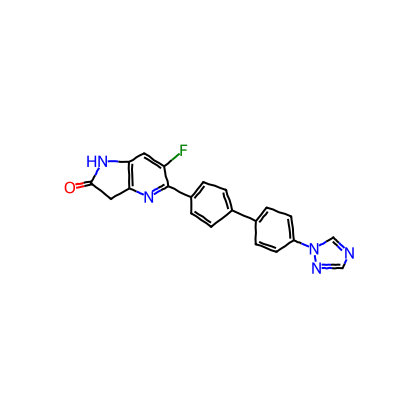 O=C1Cc2nc(-c3ccc(-c4ccc(-n5cncn5)cc4)cc3)c(F)cc2N1